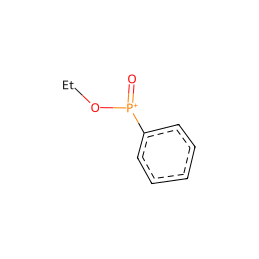 CCO[P+](=O)c1ccccc1